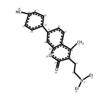 CCN(CC)CCc1c(C)c2ccc(-c3ccc(C#N)cc3)cc2oc1=O